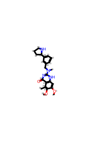 COc1cc2[nH]c(N(C)Cc3cccc(C4CCCN4)c3)nc(=O)c2c(C)c1OC